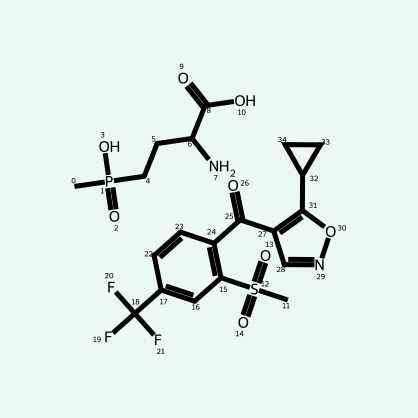 CP(=O)(O)CCC(N)C(=O)O.CS(=O)(=O)c1cc(C(F)(F)F)ccc1C(=O)c1cnoc1C1CC1